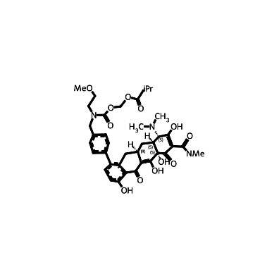 CNC(=O)C1=C(O)[C@@H](N(C)C)[C@@H]2C[C@@H]3Cc4c(-c5ccc(CN(CCOC)C(=O)OCOC(=O)C(C)C)cc5)ccc(O)c4C(=O)C3=C(O)[C@]2(O)C1=O